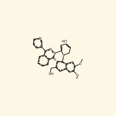 COc1cc2cc(CO)cc(N3CC=CC=C3n3nc(-c4cccnc4)c4ccccc4c3=O)c2cc1OC.Cl